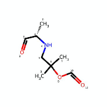 C[C@@H](C=O)NCC(C)(C)OC=O